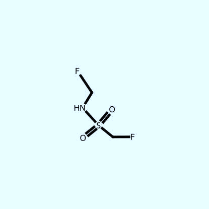 O=S(=O)(CF)NCF